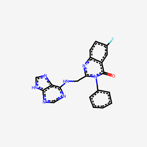 O=c1c2cc(F)ccc2nc(CNc2ncnc3[nH]cnc23)n1-c1ccccc1